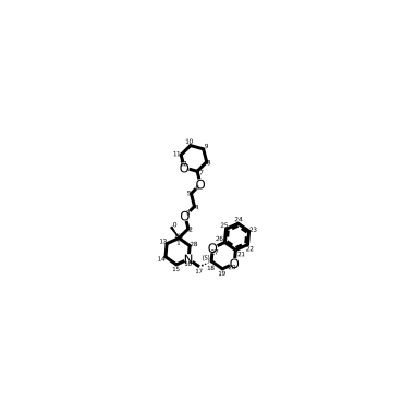 C[C@]1(COCCOC2CCCCO2)CCCN(C[C@H]2COc3ccccc3O2)C1